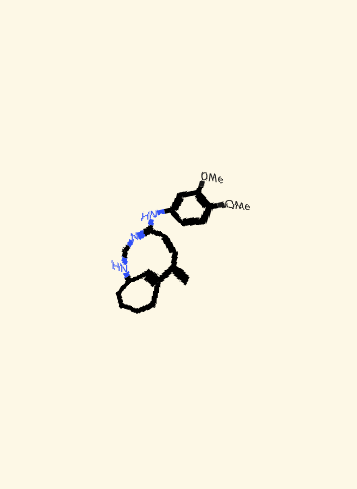 C=C1/C=C\C(Nc2ccc(OC)c(OC)c2)=N/CNC2C=C1CCCC2